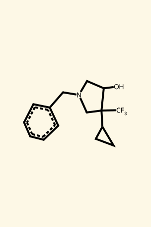 OC1CN(Cc2ccccc2)CC1(C1CC1)C(F)(F)F